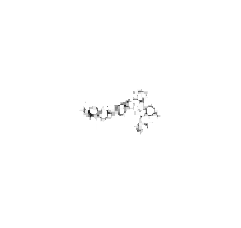 CC(C)N(CC(F)(F)F)C(=O)c1cc(F)ccc1Oc1cncnc1N1CC2(CCN(C[C@@]3(O)CC[C@@H](NS(=O)(=O)N(C)C)CO3)CC2)C1